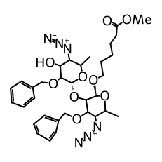 COC(=O)CCCCCO[C@H]1OC(C)C(N=[N+]=[N-])C(OCc2ccccc2)C1O[C@H]1OC(C)C(N=[N+]=[N-])C(O)C1OCc1ccccc1